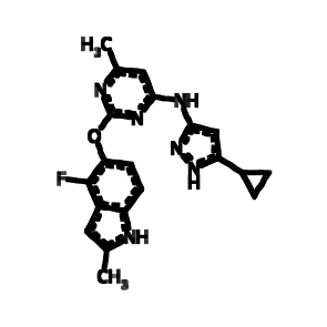 Cc1cc(Nc2cc(C3CC3)[nH]n2)nc(Oc2ccc3[nH]c(C)cc3c2F)n1